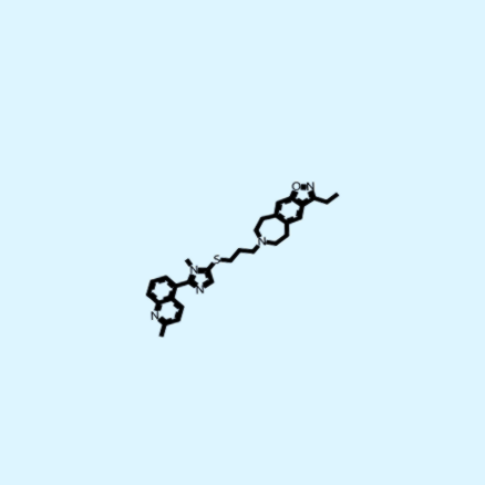 CCc1noc2cc3c(cc12)CCN(CCCSc1cnc(-c2cccc4nc(C)ccc24)n1C)CC3